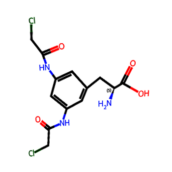 N[C@@H](Cc1cc(NC(=O)CCl)cc(NC(=O)CCl)c1)C(=O)O